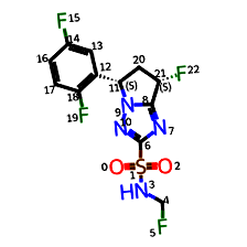 O=S(=O)(NCF)c1nc2n(n1)[C@H](c1cc(F)ccc1F)C[C@@H]2F